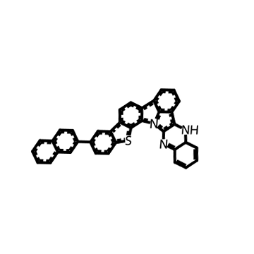 C1=CC2=Nc3c(c4cccc5c6ccc7c8cc(-c9ccc%10ccccc%10c9)ccc8sc7c6n3c45)NC2C=C1